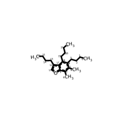 CCCCc1c(C)c(C)c2o[c]c(CCCC)c2c1CCCC